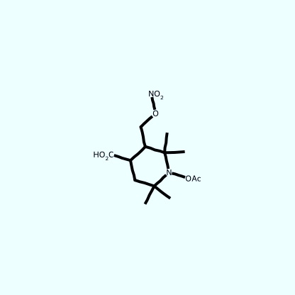 CC(=O)ON1C(C)(C)CC(C(=O)O)C(CO[N+](=O)[O-])C1(C)C